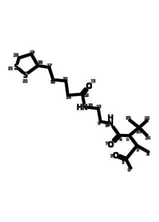 CC(=O)C(C)C(C(=O)NCCNC(=O)CCCCC1CCSS1)C(C)(C)C